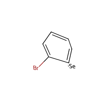 Brc1ccccc1.[Se]